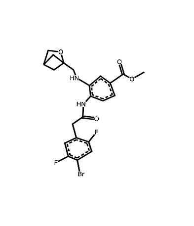 COC(=O)c1ccc(NC(=O)Cc2cc(F)c(Br)cc2F)c(NCC23CC(CO2)C3)c1